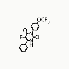 O=c1[nH]c(-c2ccccc2)c(F)c(=O)n1-c1ccc(OC(F)(F)F)cc1